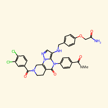 CNC(=O)c1ccc(-n2c(=O)c3c(n4ncc(NCc5ccc(OCC(N)=O)cc5)c24)CN(C(=O)c2ccc(Cl)c(Cl)c2)CC3)cc1